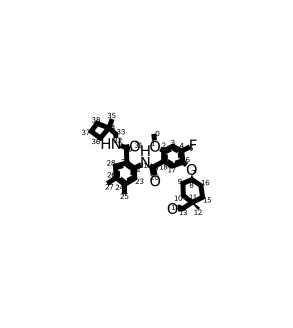 COc1cc(F)c(O[C@H]2CC[C@@](C)(C=O)CC2)cc1C(=O)Nc1cc(C)c(C)cc1C(=O)NCC1(C)CCC1